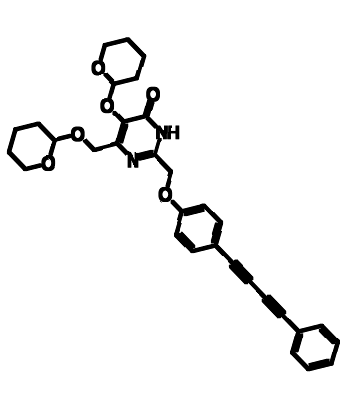 O=c1[nH]c(COc2ccc(C#CC#Cc3ccccc3)cc2)nc(COC2CCCCO2)c1OC1CCCCO1